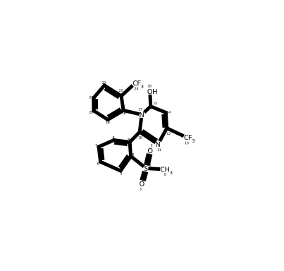 CS(=O)(=O)c1ccccc1C1=NC(C(F)(F)F)=CC(O)N1c1ccccc1C(F)(F)F